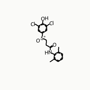 Cc1cccc(C)c1NC(=O)CC[S+]([O-])c1cc(Cl)c(O)c(Cl)c1